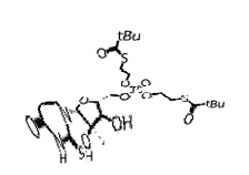 CC(C)(C)C(=O)SCCOP(=O)(OCCSC(=O)C(C)(C)C)OC[C@H]1O[C@@H](n2ccc(=O)[nH]c2=S)[C@](C)(O)C1O